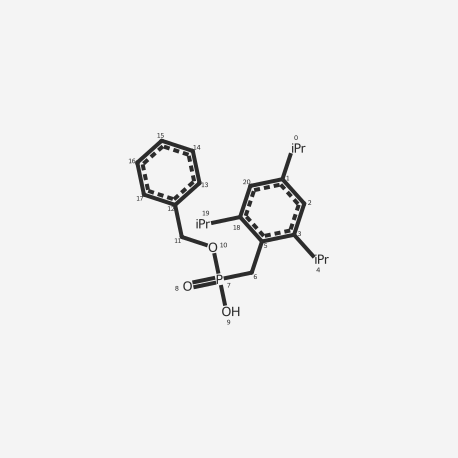 CC(C)c1cc(C(C)C)c(CP(=O)(O)OCc2ccccc2)c(C(C)C)c1